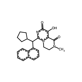 CN1CCn2c(C(c3cccc4ccccc34)C3CCCC3)nc(=O)c(O)c2C1=O